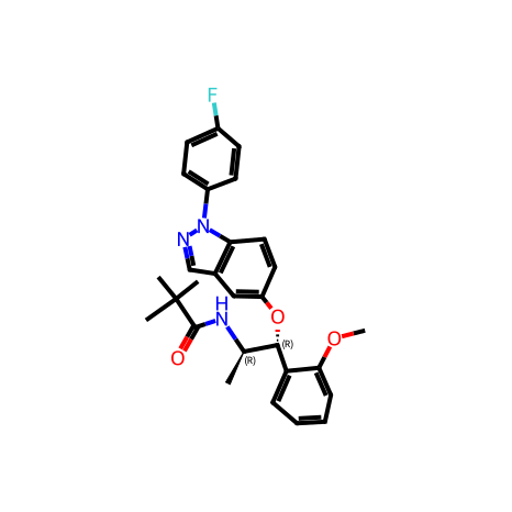 COc1ccccc1[C@@H](Oc1ccc2c(cnn2-c2ccc(F)cc2)c1)[C@@H](C)NC(=O)C(C)(C)C